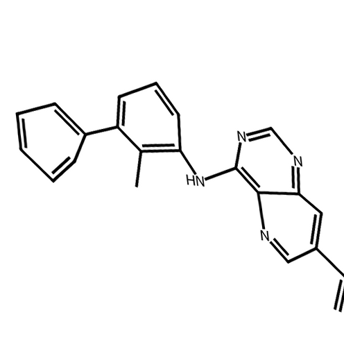 C=Cc1cnc2c(Nc3cccc(-c4ccccc4)c3C)ncnc2c1